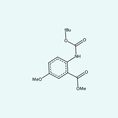 COC(=O)c1cc(OC)ccc1NC(=O)OC(C)(C)C